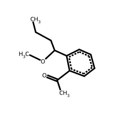 CCCC(OC)c1ccccc1C(C)=O